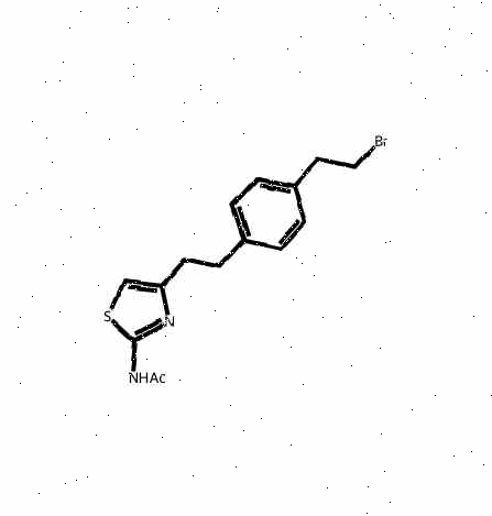 CC(=O)Nc1nc(CCc2ccc(CCBr)cc2)cs1